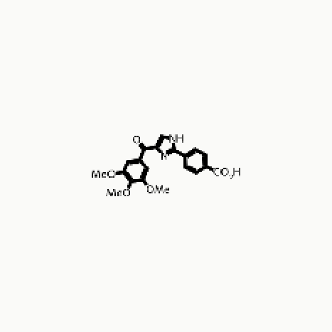 COc1cc(C(=O)c2c[nH]c(-c3ccc(C(=O)O)cc3)n2)cc(OC)c1OC